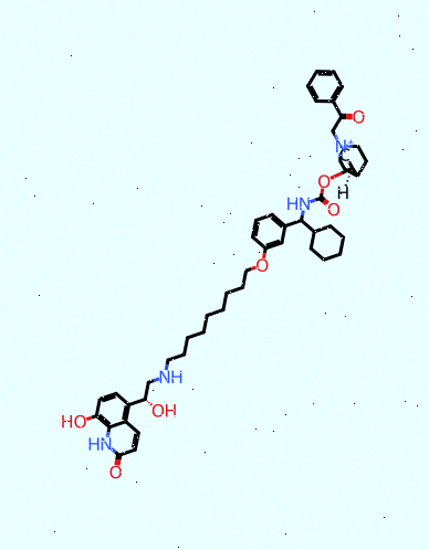 O=C(NC(c1cccc(OCCCCCCCCCNC[C@H](O)c2ccc(O)c3[nH]c(=O)ccc23)c1)C1CCCCC1)O[C@H]1C[N+]2(CC(=O)c3ccccc3)CCC1CC2